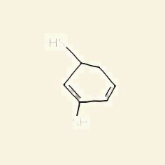 SC1=CC(S)CC=C1